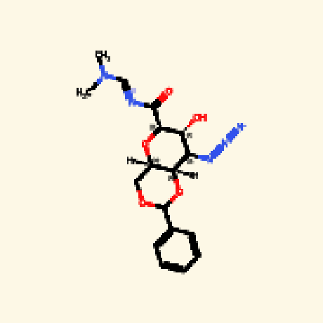 CN(C)/C=N/C(=O)[C@@H]1O[C@@H]2COC(c3ccccc3)O[C@@H]2[C@H](N=[N+]=[N-])[C@H]1O